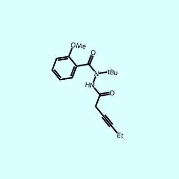 CCC#CCC(=O)NN(C(=O)c1ccccc1OC)C(C)(C)C